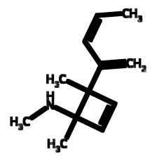 C=C(/C=C\C)C1(C)C=CC1(C)NC